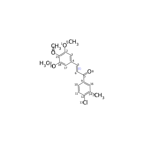 COc1cc(/C=C/C(=O)c2ccc(Cl)c(C)c2)cc(OC)c1OC